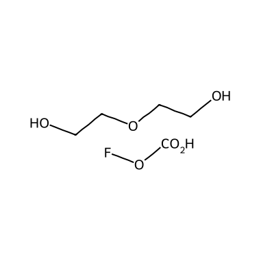 O=C(O)OF.OCCOCCO